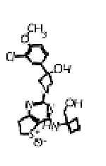 COc1ccc(C2(O)CN(c3nc4c(c(NC5(CO)CCC5)n3)[S@+]([O-])CC4)C2)cc1Cl